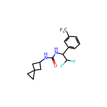 O=C(NC1CC2(CC2)C1)NC(c1cccc(C(F)(F)F)c1)C(F)F